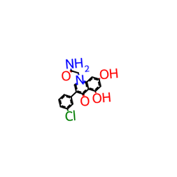 NC(=O)Cn1cc(-c2cccc(Cl)c2)c(=O)c2c(O)cc(O)cc21